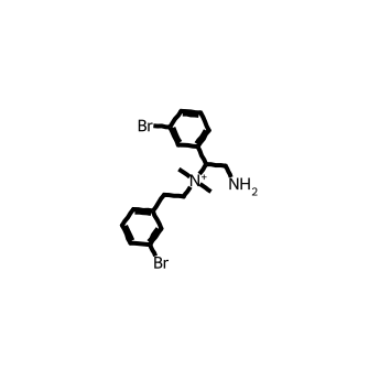 C[N+](C)(CCc1cccc(Br)c1)C(CN)c1cccc(Br)c1